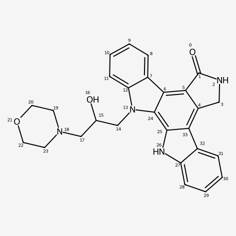 O=C1NCc2c1c1c3ccccc3n(CC(O)CN3CCOCC3)c1c1[nH]c3ccccc3c21